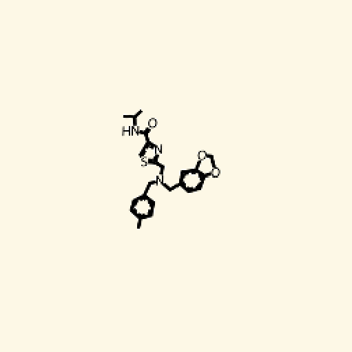 Cc1ccc(CN(Cc2ccc3c(c2)OCO3)Cc2nc(C(=O)NC(C)C)cs2)cc1